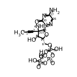 CC#CC1(N)[C@@H](O)[C@@H](COP(=O)(O)OP(=O)(O)OP(=O)(O)O)O[C@H]1n1ncc(N)nc1=O